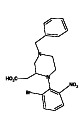 O=C(O)CC1CN(Cc2ccccc2)CCN1c1c(Br)cccc1[N+](=O)[O-]